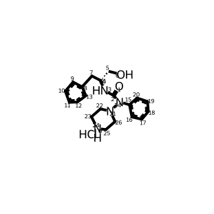 Cl.O=C(N[C@@H](CO)Cc1ccccc1)N(c1ccccc1)N1CCNCC1